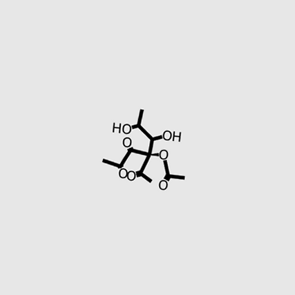 CC(=O)O[C@@](C(C)=O)(C(=O)C(C)=O)C(O)C(C)O